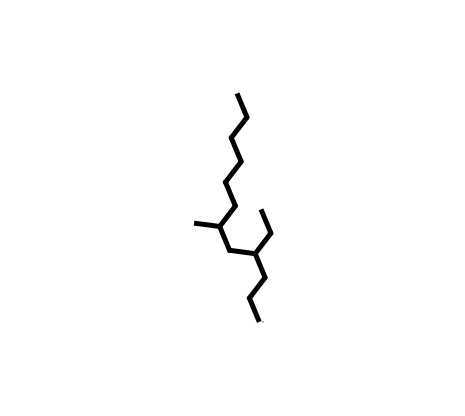 [CH2]CCC(CC)CC(C)CCCCCC